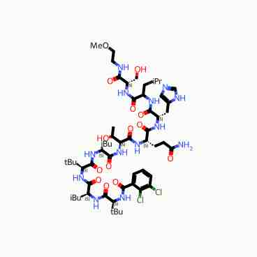 CCC(C)[C@H](NC(=O)[C@@H](NC(=O)c1cccc(Cl)c1Cl)C(C)(C)C)C(=O)N[C@H](C(=O)N[C@H](C(=O)N[C@H](C(=O)N[C@@H](CCC(N)=O)C(=O)N[C@@H](Cc1cnc[nH]1)C(=O)NC(CC(C)C)C(=O)N[C@@H](CO)C(=O)NCCOC)C(C)O)C(C)CC)C(C)(C)C